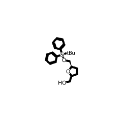 CC(C)(C)[Si](OC[C@H]1CCC(CO)O1)(c1ccccc1)c1ccccc1